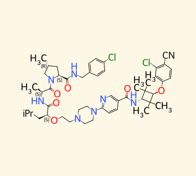 CC(C)C[C@H](OCCN1CCN(c2ccc(C(=O)N[C@H]3C(C)(C)[C@H](Oc4ccc(C#N)c(Cl)c4)C3(C)C)cn2)CC1)C(=O)N[C@@H](C)C(=O)N1C[C@H](C)C[C@H]1C(=O)NCc1ccc(Cl)cc1